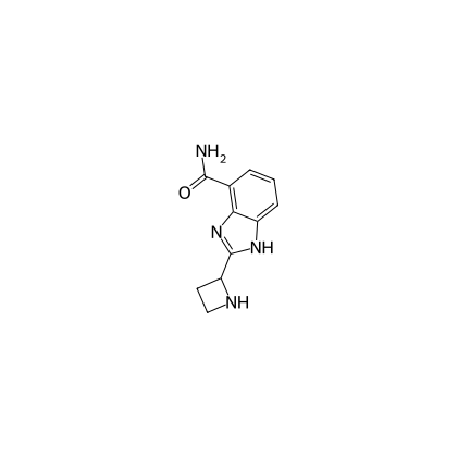 NC(=O)c1cccc2[nH]c(C3CCN3)nc12